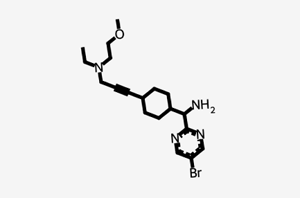 CCN(CC#CC1CCC(C(N)c2ncc(Br)cn2)CC1)CCOC